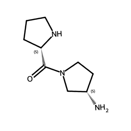 N[C@H]1CCN(C(=O)[C@@H]2CCCN2)C1